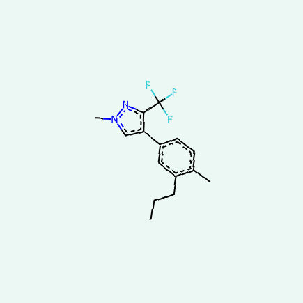 CCCc1cc(-c2cn(C)nc2C(F)(F)F)ccc1C